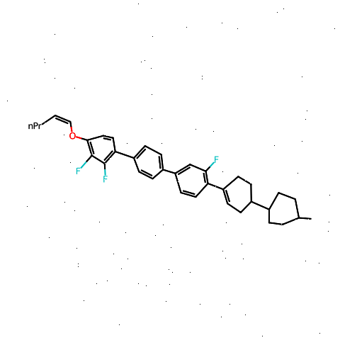 CCC/C=C\Oc1ccc(-c2ccc(-c3ccc(C4=CCC(C5CCC(C)CC5)CC4)c(F)c3)cc2)c(F)c1F